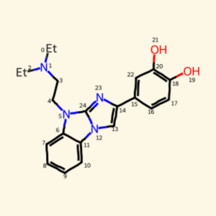 CCN(CC)CCn1c2ccccc2n2cc(-c3ccc(O)c(O)c3)nc12